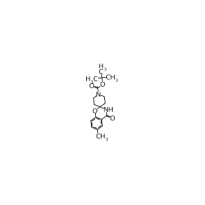 Cc1ccc2c(c1)C(=O)NC1(CCN(C(=O)OC(C)(C)C)CC1)O2